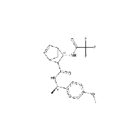 COc1ccc([C@@H](C)NC(=O)C2C3C=CC(C3)[C@@H]2NC(=O)C(F)(F)F)cc1